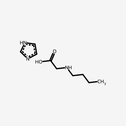 CCCCNCC(=O)O.c1c[nH]cn1